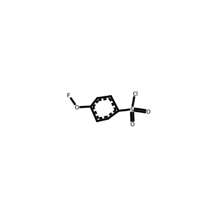 O=S(=O)(Cl)c1ccc(OF)cc1